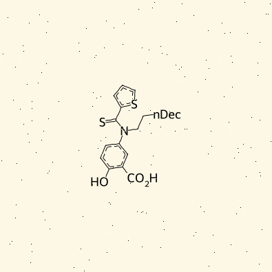 CCCCCCCCCCCCN(C(=S)c1cccs1)c1ccc(O)c(C(=O)O)c1